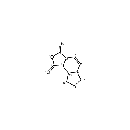 O=C1OC(=O)C2C1C=CC1CCCC12